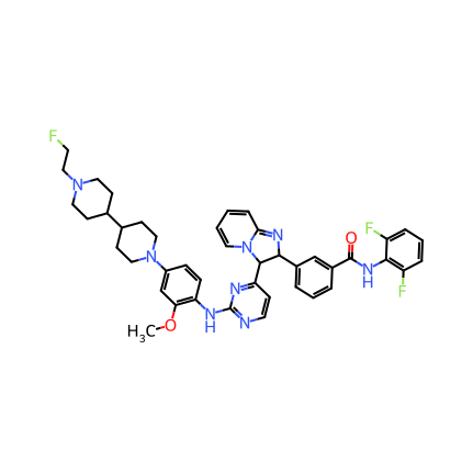 COc1cc(N2CCC(C3CCN(CCF)CC3)CC2)ccc1Nc1nccc(C2C(c3cccc(C(=O)Nc4c(F)cccc4F)c3)N=C3C=CC=CN32)n1